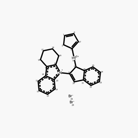 C1=CC[C]([Hf+2][CH]2C(n3c4c(c5ccccc53)CCCC4)=Cc3ccccc32)=C1.[Br-].[Br-]